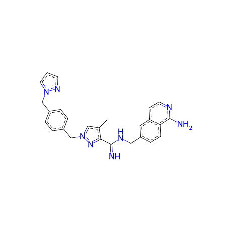 Cc1cn(Cc2ccc(Cn3cccn3)cc2)nc1C(=N)NCc1ccc2c(N)nccc2c1